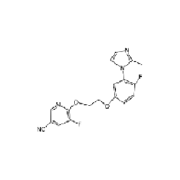 Cc1nccn1-c1cc(OCCOc2ncc(C#N)cc2F)ccc1F